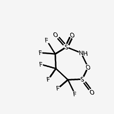 O=S1ONS(=O)(=O)C(F)(F)C(F)(F)C1(F)F